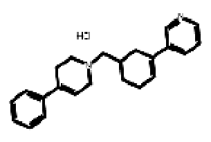 C1=C(c2ccccc2)CCN(CC2CCC=C(c3cccnc3)C2)C1.Cl